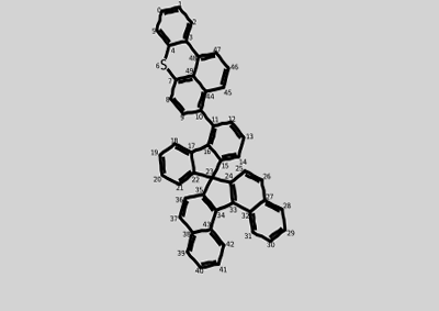 c1ccc2c(c1)Sc1ccc(-c3cccc4c3-c3ccccc3C43c4ccc5ccccc5c4-c4c3ccc3ccccc43)c3cccc-2c13